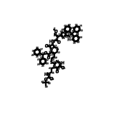 CON=C(C(=O)NC1C(=O)N2C(C(=O)OC(c3ccccc3)c3ccccc3)=C(C=CSc3n[nH]c(=O)c(=O)n3CCNC(=O)OC(C)(C)C)CSC12)c1csc(NC(c2ccccc2)(c2ccccc2)c2ccccc2)n1